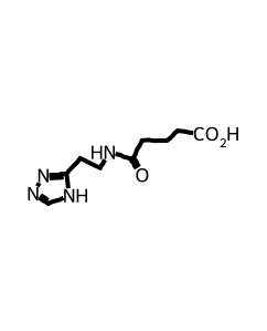 O=C(O)CCCC(=O)NCCc1nnc[nH]1